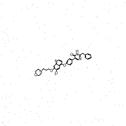 COc1cc2c(Oc3ccc(-c4cnc(Cc5ccccc5)[nH]c4=O)cc3)ccnc2cc1OCCCN1CCOCC1